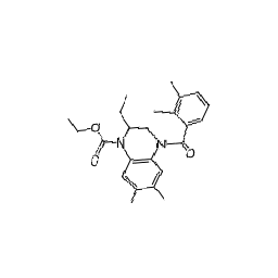 CCOC(=O)N1c2cc(C)c(C)cc2N(C(=O)c2cccc(C)c2C)CC1CC